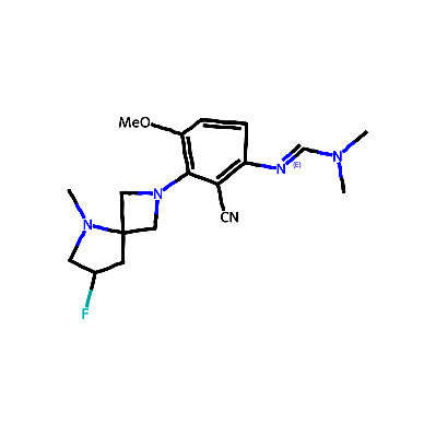 COc1ccc(/N=C/N(C)C)c(C#N)c1N1CC2(CC(F)CN2C)C1